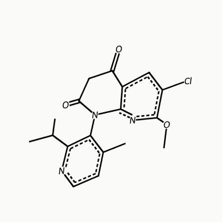 COc1nc2c(cc1Cl)C(=O)CC(=O)N2c1c(C)ccnc1C(C)C